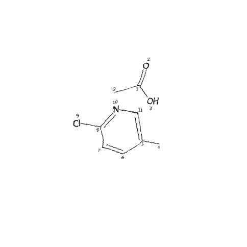 CC(=O)O.Cc1ccc(Cl)nc1